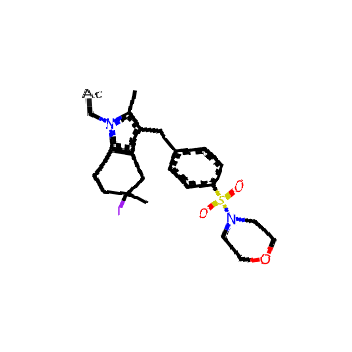 CC(=O)Cn1c(C)c(Cc2ccc(S(=O)(=O)N3CCOCC3)cc2)c2c1CCC(C)(I)C2